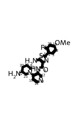 COc1ccc(-c2nc(C(=O)Nc3cnccc3N3CCC[C@H](N)C3)c(N)s2)c(F)c1